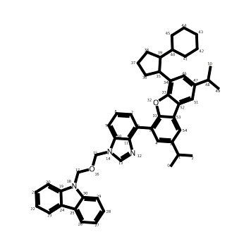 CC(C)c1cc(-c2cccc3c2ncn3COCn2c3ccccc3c3ccccc32)c2oc3c(C4CCCC4C4CCCCC4)cc(C(C)C)cc3c2c1